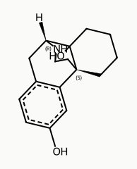 Oc1ccc2c(c1)[C@@]13CCCCC1(O)[C@@H](C2)NCC3